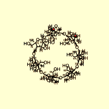 O.OC[C@H]1O[C@@H]2O[C@H]3[C@H](O)[C@@H](O)[C@@H](O[C@H]4[C@H](O)[C@@H](O)[C@@H](O[C@H]5[C@H](O)[C@@H](O)[C@@H](O[C@H]6[C@H](O)[C@@H](O)[C@@H](O[C@H]7[C@H](O)[C@@H](O)[C@@H](O[C@H]8[C@H](O)[C@@H](O)[C@@H](O[C@H]1[C@H](O)[C@H]2O)O[C@@H]8CO)O[C@@H]7CO)O[C@@H]6CO)O[C@@H]5CO)O[C@@H]4CO)O[C@@H]3CO